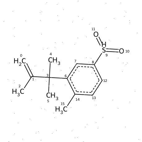 C=C(C)C(C)(C)c1cc([SH](=O)=O)ccc1C